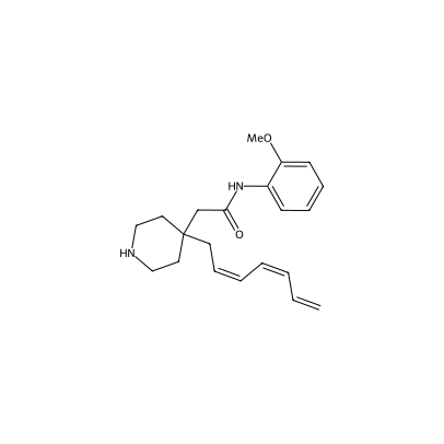 C=C/C=C\C=C/CC1(CC(=O)Nc2ccccc2OC)CCNCC1